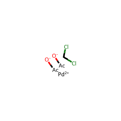 CC(=O)[O-].CC(=O)[O-].ClCCl.[Pd+2]